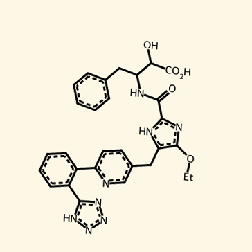 CCOc1nc(C(=O)NC(Cc2ccccc2)C(O)C(=O)O)[nH]c1Cc1ccc(-c2ccccc2-c2nnn[nH]2)nc1